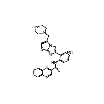 Cl.O=C(Nc1ccccc1-c1cn2c(CN3CCNCC3)csc2n1)c1cnc2ccccc2n1